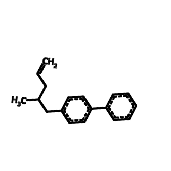 C=CCC(C)Cc1ccc(-c2ccccc2)cc1